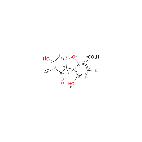 CC(=O)C1=C(O)C=C2Oc3c(C(=O)O)c(C)cc(O)c3C2(C)C1=O